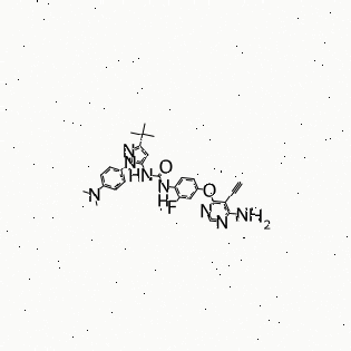 C#Cc1c(N)ncnc1Oc1ccc(NC(=O)Nc2cc(C(C)(C)C)nn2-c2ccc(N(C)C)cc2)c(F)c1